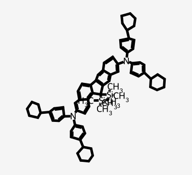 C[Si](C)(C)C1([Si](C)(C)C)c2cc3cc(N(c4ccc(C5CCCCC5)cc4)c4ccc(C5CCCCC5)cc4)ccc3cc2-c2ccc3cc(N(c4ccc(C5CCCCC5)cc4)c4ccc(C5CCCCC5)cc4)ccc3c21